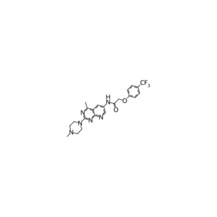 Cc1nc(N2CCN(C)CC2)nc2ncc(NC(=O)COc3ccc(C(F)(F)F)cc3)cc12